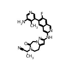 Cc1c(N)cncc1-c1cc2cc(Nc3cc4n(n3)CC(=O)N([C@H](C)C#N)CC4)ncc2cc1F